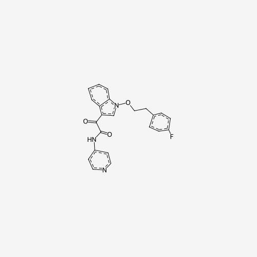 O=C(Nc1ccncc1)C(=O)c1cn(OCCc2ccc(F)cc2)c2ccccc12